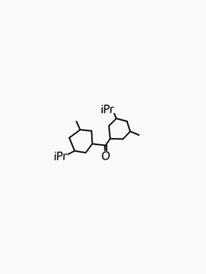 CC1CC(C(=O)C2CC(C)CC(C(C)C)C2)CC(C(C)C)C1